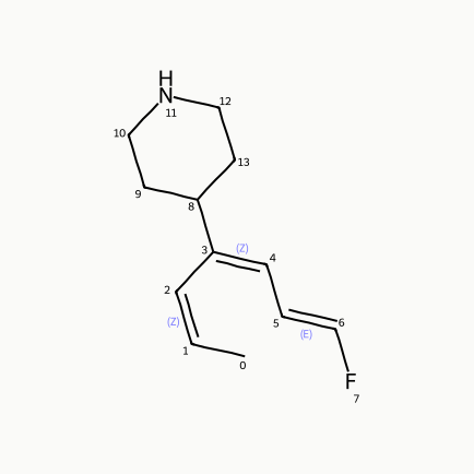 C\C=C/C(=C\C=C\F)C1CCNCC1